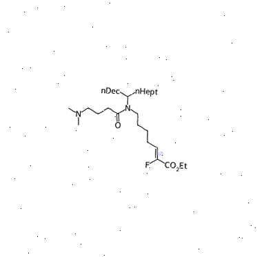 CCCCCCCCCCC(CCCCCCC)N(CCCC/C=C(\F)C(=O)OCC)C(=O)CCCN(C)C